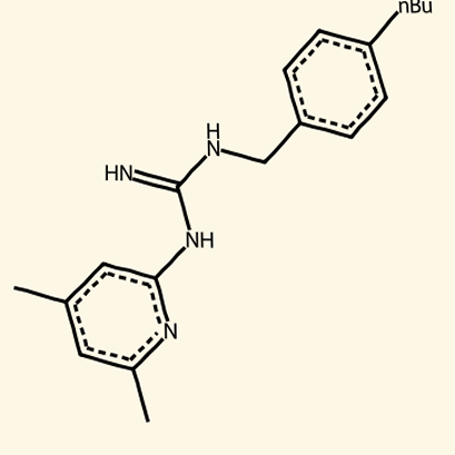 CCCCc1ccc(CNC(=N)Nc2cc(C)cc(C)n2)cc1